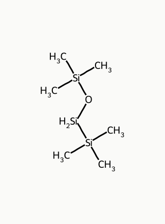 C[Si](C)(C)O[SiH2][Si](C)(C)C